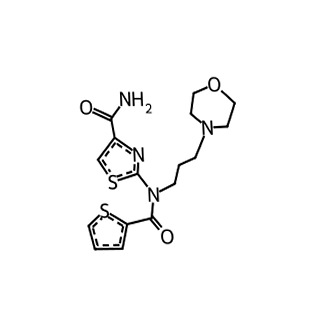 NC(=O)c1csc(N(CCCN2CCOCC2)C(=O)c2cccs2)n1